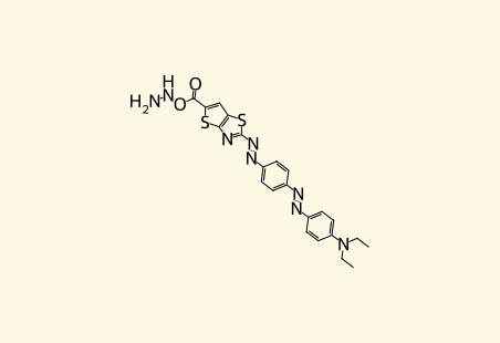 CCN(CC)c1ccc(N=Nc2ccc(N=Nc3nc4sc(C(=O)ONN)cc4s3)cc2)cc1